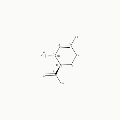 [2H][C@@H]1C=C(C)CC[C@H]1C(=C)C